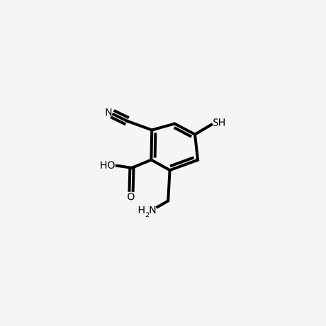 N#Cc1cc(S)cc(CN)c1C(=O)O